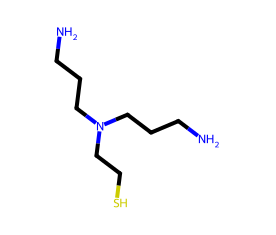 NCCCN(CCS)CCCN